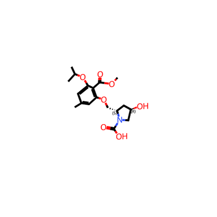 COC(=O)c1c(OC[C@@H]2C[C@@H](O)CN2C(=O)O)cc(C)cc1OC(C)C